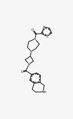 O=C(c1ccc2c(c1)CCNC2)N1CC(N2CCN(C(=O)c3nccs3)CC2)C1